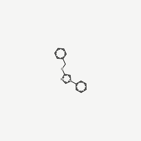 c1ccc(COc2cn(-c3ccccc3)cn2)cc1